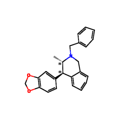 C[C@H]1[C@H](c2ccc3c(c2)OCO3)c2ccccc2CN1Cc1ccccc1